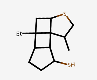 CCC12CC3SCC(C)C31C1C(S)CCC12